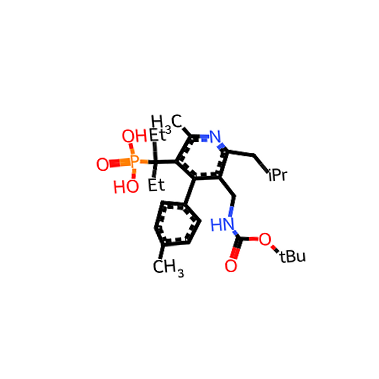 CCC(CC)(c1c(C)nc(CC(C)C)c(CNC(=O)OC(C)(C)C)c1-c1ccc(C)cc1)P(=O)(O)O